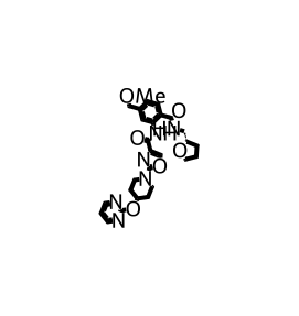 COCc1ccc(C(=O)NC[C@@H]2CCCO2)c(NC(=O)c2coc(N3CCC(Oc4ncccn4)CC3)n2)c1